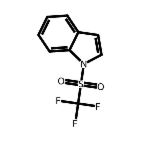 O=S(=O)(n1ccc2ccccc21)C(F)(F)F